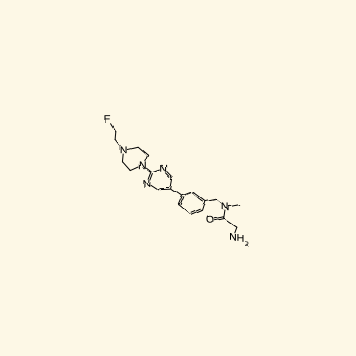 CN(Cc1cccc(-c2cnc(N3CCN(CCF)CC3)nc2)c1)C(=O)CN